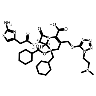 CN(C)CCn1nnnc1SCC1=C(C(=O)O)N2C(=O)[C@@H](NC(=O)Cc3csc(N)n3)[C@H]2S(CC2CCCCC2)(OC(=O)C2CCCCC2)C1